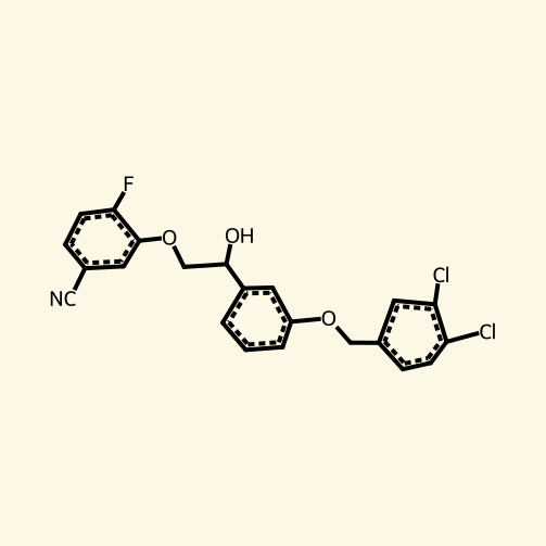 N#Cc1ccc(F)c(OCC(O)c2cccc(OCc3ccc(Cl)c(Cl)c3)c2)c1